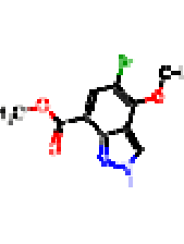 COC(=O)c1cc(Br)c(OC)c2c[nH]nc12